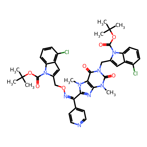 Cn1c(/C(=N\OCc2cc3c(Cl)cccc3n2C(=O)OC(C)(C)C)c2ccncc2)nc2c1c(=O)n(Cc1cc3c(Cl)cccc3n1C(=O)OC(C)(C)C)c(=O)n2C